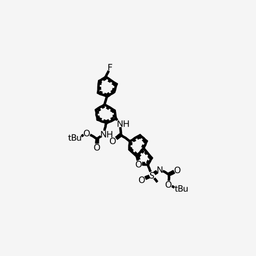 CC(C)(C)OC(=O)N=S(C)(=O)c1cc2ccc(C(=O)Nc3cc(-c4ccc(F)cc4)ccc3NC(=O)OC(C)(C)C)cc2o1